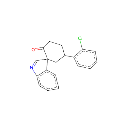 O=C1CCC(c2ccccc2Cl)CC12C=Nc1ccccc12